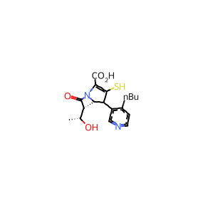 CCCCc1ccncc1C1C(S)=C(C(=O)O)N2C(=O)[C@@H]([C@@H](C)O)C12